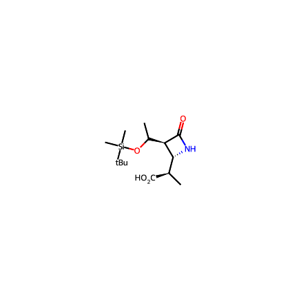 CC(O[Si](C)(C)C(C)(C)C)[C@H]1C(=O)N[C@@H]1[C@@H](C)C(=O)O